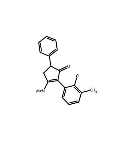 CNC1=C(c2cccc(C)c2Cl)C(=O)C(c2ccccc2)C1